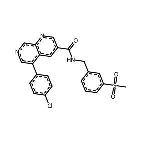 CS(=O)(=O)c1cccc(CNC(=O)c2cnc3cncc(-c4ccc(Cl)cc4)c3c2)c1